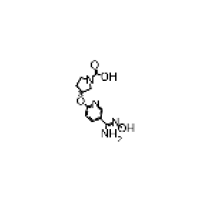 NC(=NO)c1ccc(O[C@@H]2CCN(C(=O)O)C2)nc1